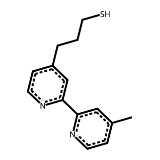 Cc1ccnc(-c2cc(CCCS)ccn2)c1